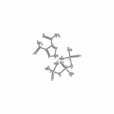 NC(=O)c1c[nH]cc1C(N)=O.O=P(O)(O)OP(=O)(O)OP(=O)(O)O